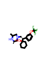 CC1CN(C[C@H](c2cccc(OC(F)(F)F)c2)C2(O)CCCCC2)C[C@@H](C)N1